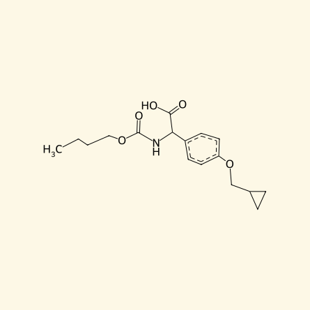 CCCCOC(=O)NC(C(=O)O)c1ccc(OCC2CC2)cc1